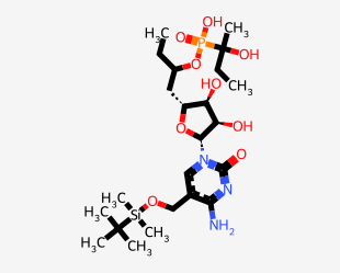 CCC(C[C@H]1O[C@@H](n2cc(CO[Si](C)(C)C(C)(C)C)c(N)nc2=O)[C@H](O)[C@@H]1O)OP(=O)(O)C(C)(O)CC